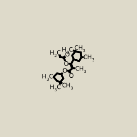 C=CC(=O)OC(=C(C)C(=O)OC1CC(C)CC(C)(C)C1)C1CC(C)CC(C)(C)C1